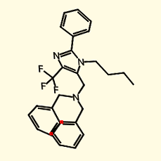 CCCCn1c(-c2ccccc2)nc(C(F)(F)F)c1CN(Cc1ccccc1)Cc1ccccc1